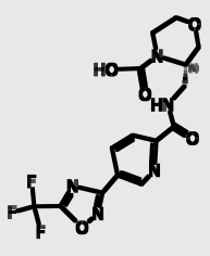 O=C(NC[C@H]1COCCN1C(=O)O)c1ccc(-c2noc(C(F)(F)F)n2)cn1